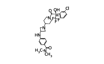 CN(C)C(=O)c1ccc(NC2CN(C3CCN(C(=O)[C@](O)(c4cccc(Cl)c4)C(F)(F)F)CC3)C2)cc1